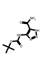 CC(C)(C)OC(=O)Nc1nn[nH]c1C(N)=O